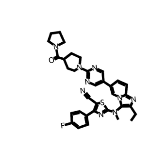 CCc1nc2ccc(-c3cnc(N4CCC(C(=O)N5CCCC5)CC4)nc3)cn2c1N(C)c1nc(-c2ccc(F)cc2)c(C#N)s1